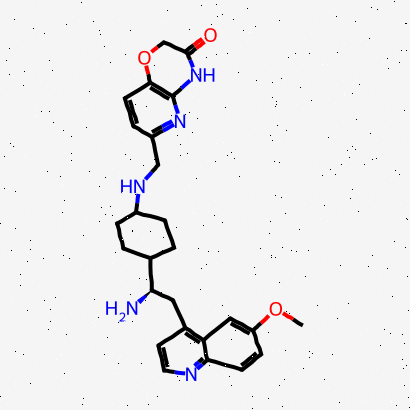 COc1ccc2nccc(C[C@@H](N)C3CCC(NCc4ccc5c(n4)NC(=O)CO5)CC3)c2c1